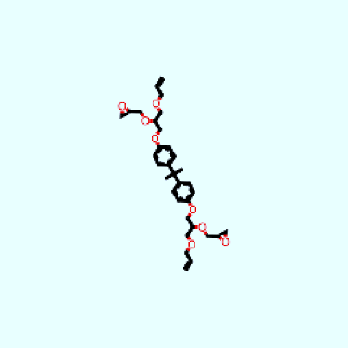 C=CCOCC(COc1ccc(C(C)(C)c2ccc(OCC(COCC=C)OCC3CO3)cc2)cc1)OCC1CO1